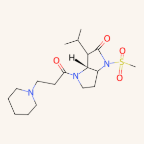 CC(C)C1C(=O)N(S(C)(=O)=O)C2CCN(C(=O)CCN3CCCCC3)[C@H]12